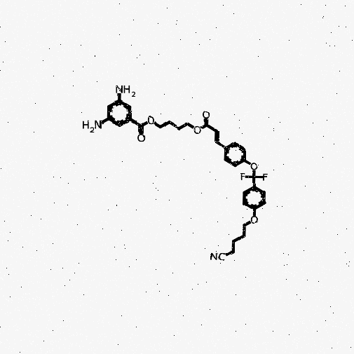 N#CCCCCOc1ccc(C(F)(F)Oc2ccc(C=CC(=O)OCCCCOC(=O)c3cc(N)cc(N)c3)cc2)cc1